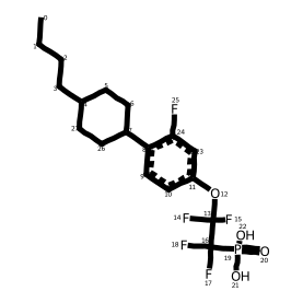 CCCCC1CCC(c2ccc(OC(F)(F)C(F)(F)P(=O)(O)O)cc2F)CC1